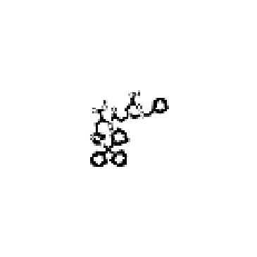 COC(=O)C(Cc1cn(C(c2ccccc2)(c2ccccc2)c2ccccc2)cn1)NC(=O)CN(CCCc1ccccc1)CC(=O)O